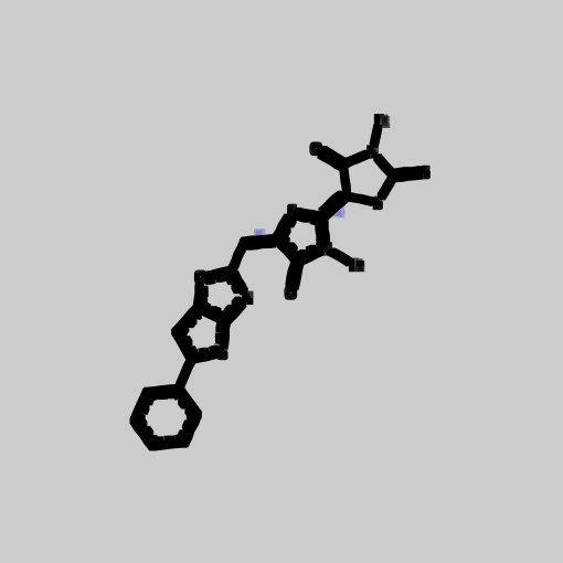 CCN1C(=O)/C(=c2\s/c(=C/c3nc4sc(-c5ccccc5)cc4o3)c(=O)n2CC)SC1=S